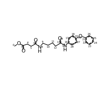 COC(=O)CCC(=O)NCCCCC(=O)Nc1ccc(Oc2ccccc2)cc1